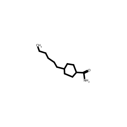 CCCCCCC1CCC(C(N)=O)CC1